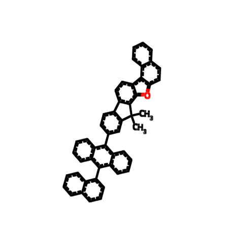 CC1(C)c2cc(-c3c4ccccc4c(-c4cccc5ccccc45)c4ccccc34)ccc2-c2ccc3c(oc4ccc5ccccc5c43)c21